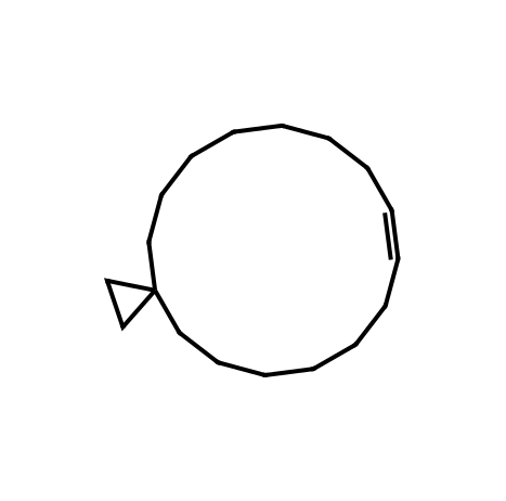 C1=C\CCCCCCC2(CCCCCCC/1)CC2